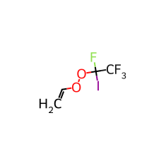 C=COOC(F)(I)C(F)(F)F